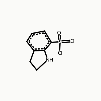 O=S(=O)(Cl)c1cccc2c1NCC2